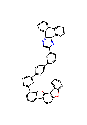 c1cc(-c2ccc(-c3cccc(-c4cccc5c4oc4c5ccc5oc6ccccc6c54)c3)cc2)cc(-c2cnc3c4ccccc4c4ccccc4c3n2)c1